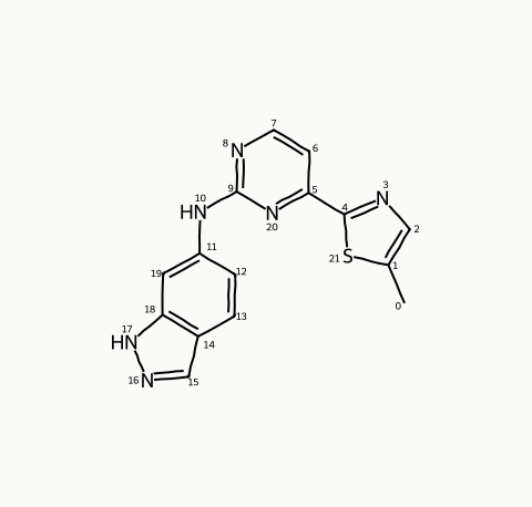 Cc1cnc(-c2ccnc(Nc3ccc4cn[nH]c4c3)n2)s1